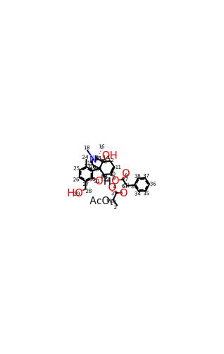 CC(=O)O[C@@H](C)C(=O)O[C@H](C(=O)OC1=CC[C@@]2(O)[C@@H](C)N(C)CC[C@@]23c2c(C)ccc(CO)c2O[C@@H]13)c1ccccc1